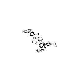 C[C@@H]1[C@H](NC(=O)c2ccc(C(O)(C(F)(F)F)C(F)(F)F)cc2)CCCN1c1cnc(C(N)=O)c(Nc2cnn(C)c2)n1